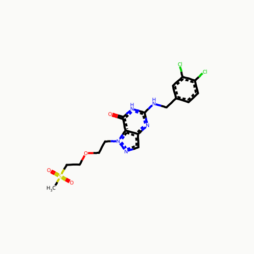 CS(=O)(=O)CCOCCn1ncc2nc(NCc3ccc(Cl)c(Cl)c3)[nH]c(=O)c21